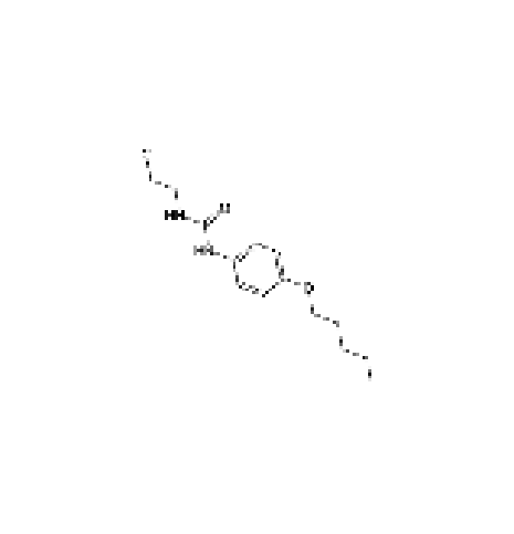 CCCCCOc1ccc(NC(=O)NCCCl)cc1